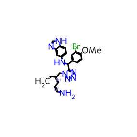 C=C/C(=C\C=C/N)Cn1nnnc1C(Nc1ccc2[nH]cnc2c1)c1ccc(OC)c(Br)c1